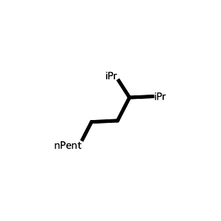 CCCCCCCC(C(C)C)C(C)C